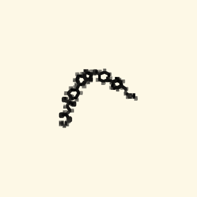 CCCc1cnc(N2CCC(Oc3nc4ccc(C5=CCN(S(=O)(=O)CCC(=O)OC)CC5)cc4s3)CC2)nc1